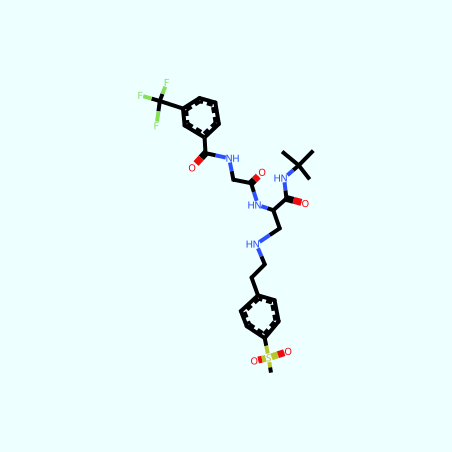 CC(C)(C)NC(=O)C(CNCCc1ccc(S(C)(=O)=O)cc1)NC(=O)CNC(=O)c1cccc(C(F)(F)F)c1